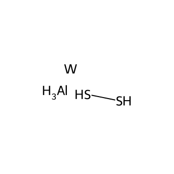 SS.[AlH3].[W]